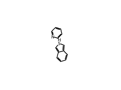 C1=c2ccccc2=C[SH]1c1ccccn1